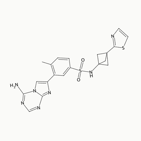 Cc1ccc(S(=O)(=O)NC23CC(c4nccs4)(C2)C3)cc1-c1cn2c(N)ncnc2n1